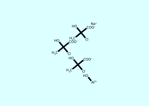 CC(O)(Cl)C(=O)[O-].CC(O)(Cl)C(=O)[O-].CC(O)(Cl)C(=O)[O-].[Na+].[OH][Al+2]